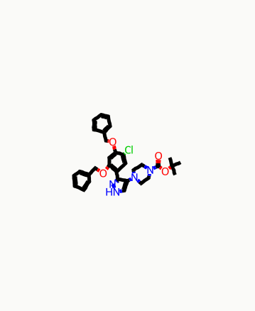 CC(C)(C)OC(=O)N1CCN(c2c[nH]nc2-c2cc(Cl)c(OCc3ccccc3)cc2OCc2ccccc2)CC1